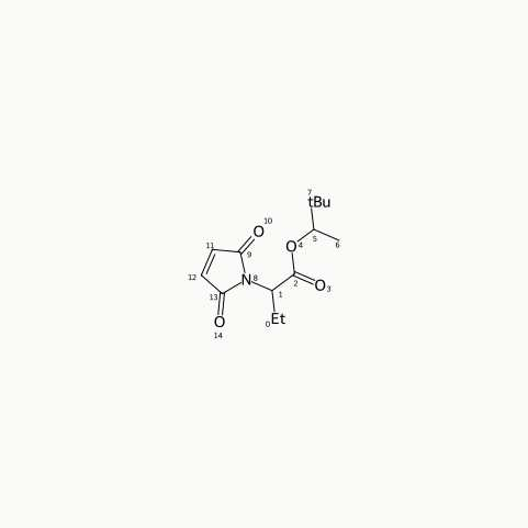 CCC(C(=O)OC(C)C(C)(C)C)N1C(=O)C=CC1=O